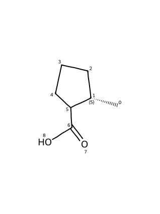 C[C@H]1CCCC1C(=O)O